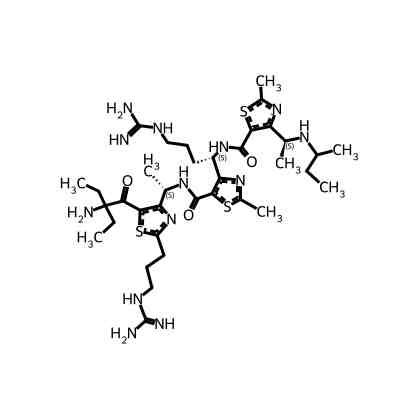 CCC(C)N[C@@H](C)c1nc(C)sc1C(=O)N[C@@H](CCCNC(=N)N)c1nc(C)sc1C(=O)N[C@@H](C)c1nc(CCCNC(=N)N)sc1C(=O)C(N)(CC)CC